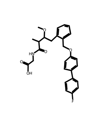 COC(Cc1ccccc1COc1ccc(-c2ccc(F)cc2)cc1)C(C)C(=O)NCC(=O)O